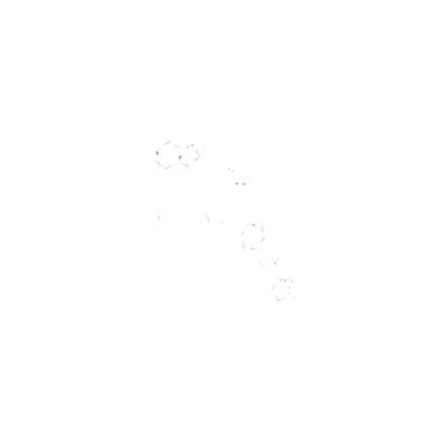 CCn1nc(C)cc1C(=O)Nc1ccc(CC(CC(=O)N2CCCC(c3c(C)c4cccc(F)c4n3CCCOC)C2)NC(=O)OC(C)(C)C)cc1